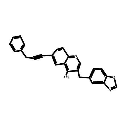 Oc1c(Cc2ccc3scnc3c2)cnc2ccc(C#CCc3ccccc3)cc12